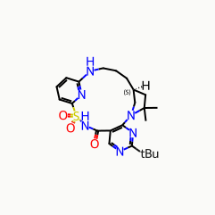 CC(C)(C)c1ncc2c(n1)N1C[C@@H](CCCNc3cccc(n3)S(=O)(=O)NC2=O)CC1(C)C